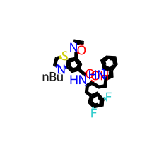 CCCCN1CCSc2c(-c3ncco3)cc(C(=O)NC(Cc3cc(F)cc(F)c3)C(O)CCc3cc4ccccc4[nH]3)cc21